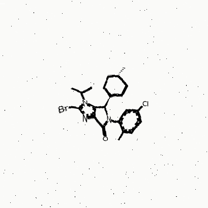 Cc1ccc(Cl)cc1N1C(=O)c2nc(Br)n(C(C)C)c2C1[C@H]1CC[C@H](C)CC1